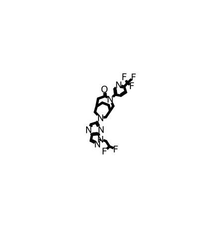 O=C1CC2CCC(CN(c3cnc4cnn(CC(F)F)c4n3)C2)CN1c1ccc(C(F)(F)F)nc1